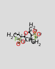 C=CC(C(=C)OC(=C)C(C=C)S(=O)(=O)F)S(=O)(=O)F